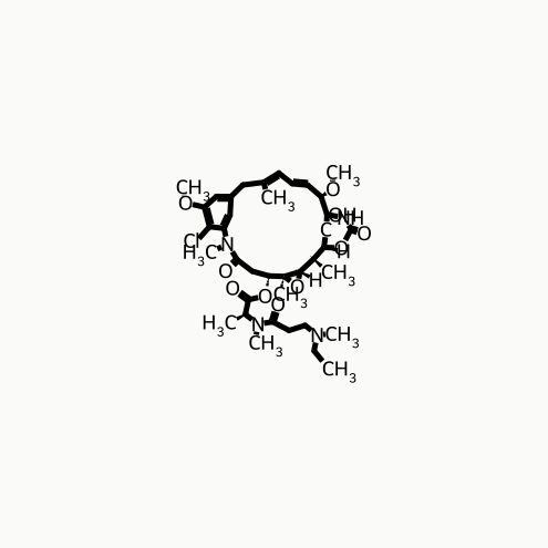 CCN(C)CCC(=O)N(C)[C@@H](C)C(=O)O[C@@H]1CC(=O)N(C)c2cc(cc(OC)c2Cl)C/C(C)=C/C=C/[C@@H](OC)[C@@]2(O)C[C@H](OC(=O)N2)[C@@H](C)[C@@H]2O[C@@]12C